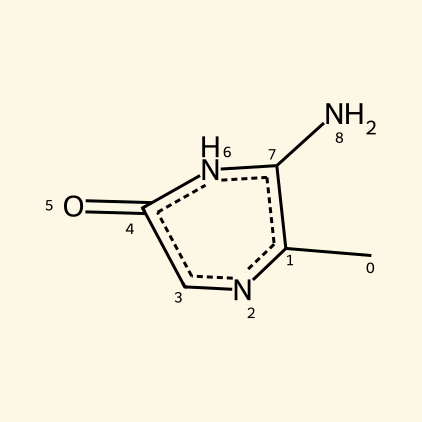 Cc1ncc(=O)[nH]c1N